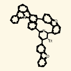 CC[C@@H]1C(c2ccc3c(c2)oc2ccccc23)=CC(c2ccccc2)=NC1c1cccc2oc3ccc(-c4ccc5c(c4)c4cccc6c7ccccc7n5c64)cc3c12